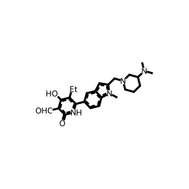 CCc1c(-c2ccc3c(c2)cc(CN2CCCC(N(C)C)C2)n3C)[nH]c(=O)c(C=O)c1O